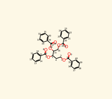 O=C(OCCC(OC(=O)c1ccccc1)C(COC(=O)c1ccccc1)OC(=O)c1ccccc1)c1ccccc1